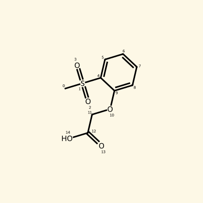 CS(=O)(=O)c1ccccc1OCC(=O)O